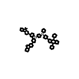 CC1(C)c2ccccc2-c2ccc(-c3ccc4c(c3)c3cc(C5=CC6C(C=C5)c5ccccc5C6(C)C)ccc3n4-c3ccc(N(c4ccccc4)c4ccc(-c5ccc6c(-c7ccccc7)c7ccccc7c(-c7ccccc7)c6c5)cc4)cc3)cc21